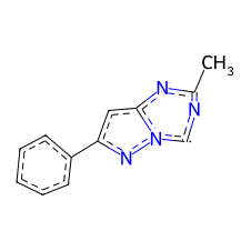 Cc1n[c]n2nc(-c3ccccc3)cc2n1